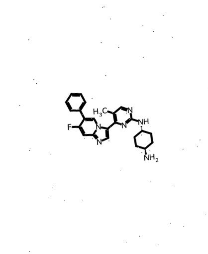 Cc1cnc(N[C@H]2CC[C@H](N)CC2)nc1-c1cnc2cc(F)c(-c3ccccc3)cn12